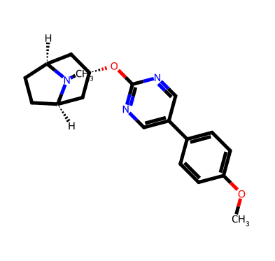 COc1ccc(-c2cnc(O[C@@H]3C[C@H]4CC[C@@H](C3)N4C)nc2)cc1